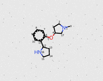 CN1CCC(Oc2ccccc2C2CCCN2)C1